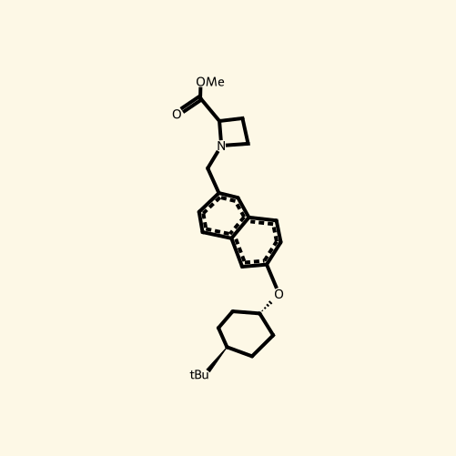 COC(=O)C1CCN1Cc1ccc2cc(O[C@H]3CC[C@H](C(C)(C)C)CC3)ccc2c1